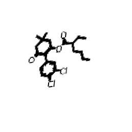 CCCCC(CC)C(=O)OC1=C(c2ccc(Cl)c(Cl)c2)C(=O)CC(C)(C)C1